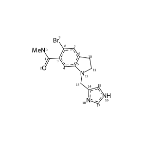 CNC(=O)c1cc2c(cc1Br)CCN2Cc1c[nH]cn1